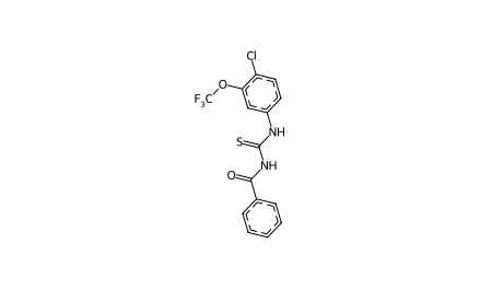 O=C(NC(=S)Nc1ccc(Cl)c(OC(F)(F)F)c1)c1ccccc1